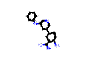 N=C(N)c1cc(-c2cncc(Nc3ccccc3)c2)ccc1N